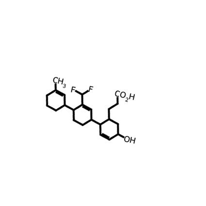 CC1=CC(C2CCC(C3C=CC(O)CC3CCC(=O)O)C=C2C(F)F)CCC1